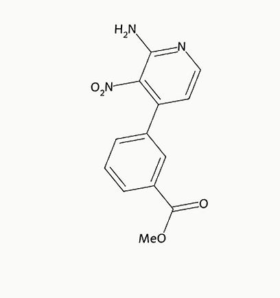 COC(=O)c1cccc(-c2ccnc(N)c2[N+](=O)[O-])c1